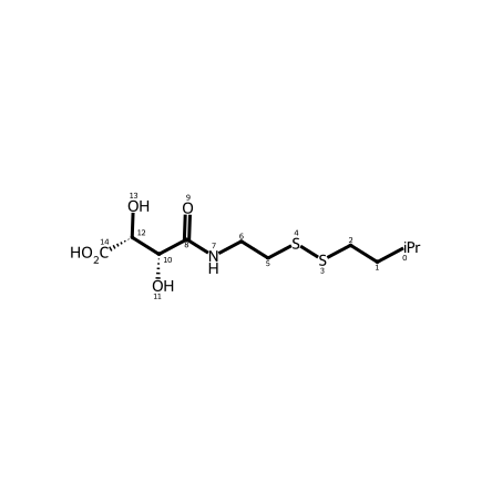 CC(C)CCSSCCNC(=O)[C@H](O)[C@@H](O)C(=O)O